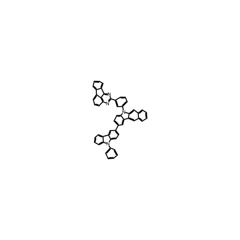 c1ccc(-n2c3ccccc3c3cc(-c4ccc5c(c4)c4cc6ccccc6cc4n5-c4cccc(-c5nc6c7c(cccc7n5)-c5ccccc5-6)c4)ccc32)cc1